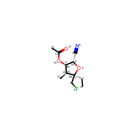 CC[C@@]1(CF)O[C@@H](C#N)[C@H](OC(C)=O)[C@@H]1C